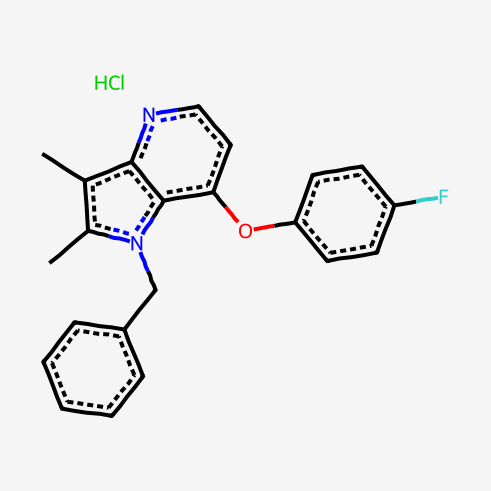 Cc1c(C)n(Cc2ccccc2)c2c(Oc3ccc(F)cc3)ccnc12.Cl